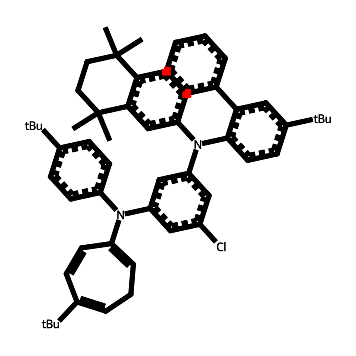 CC(C)(C)C1=CCC=C(N(c2ccc(C(C)(C)C)cc2)c2cc(Cl)cc(N(c3ccc4c(c3)C(C)(C)CCC4(C)C)c3ccc(C(C)(C)C)cc3-c3ccccc3)c2)C=C1